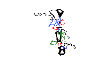 CCOC(=O)c1ccccc1NC(=O)NCC(=O)N(C)c1ccc(Cl)c(COc2cc3ccccc3nc2C)c1Cl.Cl